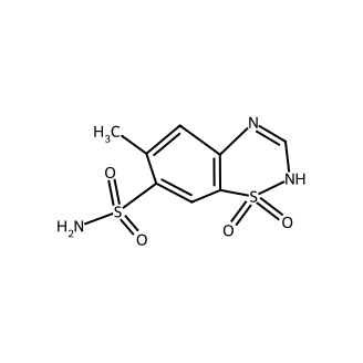 Cc1cc2c(cc1S(N)(=O)=O)S(=O)(=O)NC=N2